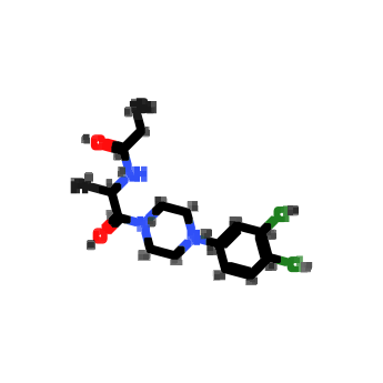 CC(C)C(NC(=O)CC(C)(C)C)C(=O)N1CCN(c2ccc(Cl)c(Cl)c2)CC1